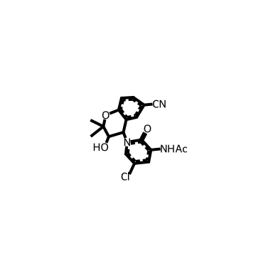 CC(=O)Nc1cc(Cl)cn(C2c3cc(C#N)ccc3OC(C)(C)C2O)c1=O